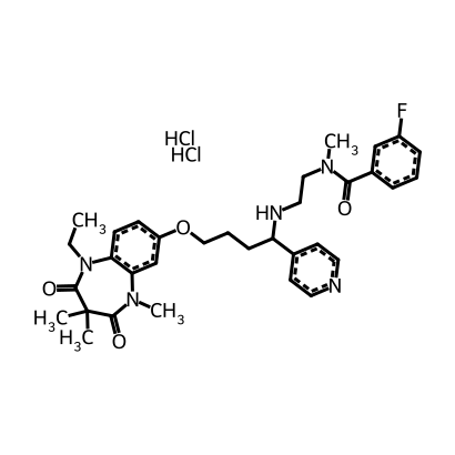 CCN1C(=O)C(C)(C)C(=O)N(C)c2cc(OCCCC(NCCN(C)C(=O)c3cccc(F)c3)c3ccncc3)ccc21.Cl.Cl